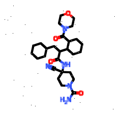 N#CC1(NC(=O)C(CC2CCCCC2)C2CCCC[C]2C(=O)N2CCOCC2)CCN(C(N)=O)CC1